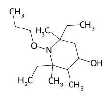 CCCON1C(C)(CC)CC(O)C(C)C1(C)CC